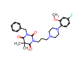 COc1cc(F)ccc1N1CCN(CCCN2C(=O)N(Cc3ccccc3)C(=O)C(C)(C)C2=O)CC1